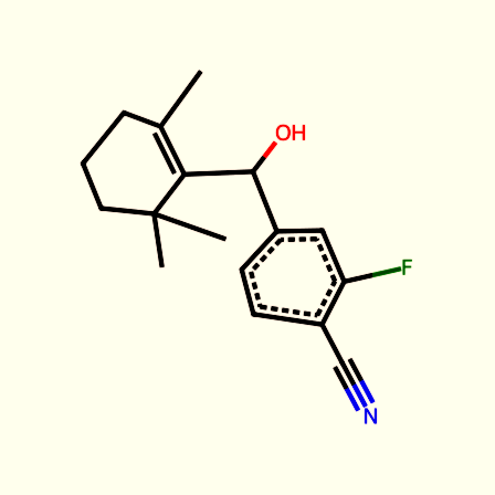 CC1=C(C(O)c2ccc(C#N)c(F)c2)C(C)(C)CCC1